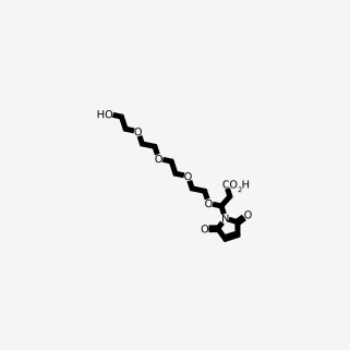 O=C(O)CC(OCCOCCOCCOCCO)N1C(=O)C=CC1=O